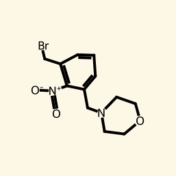 O=[N+]([O-])c1c(CBr)cccc1CN1CCOCC1